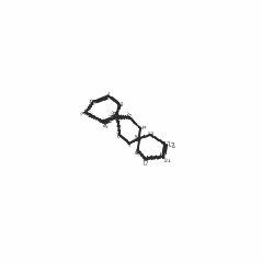 C1=CCC2(CC1)CCC1(CCCCC1)CC2